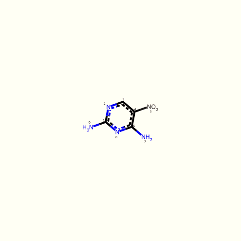 Nc1ncc([N+](=O)[O-])c(N)n1